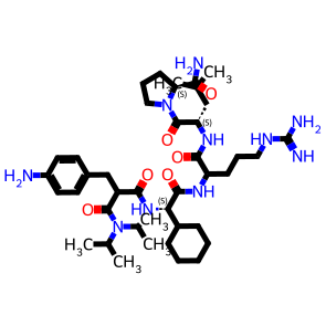 CC(C)C[C@H](NC(=O)C(CCCNC(=N)N)NC(=O)[C@@H](NC(=O)C(Cc1ccc(N)cc1)C(=O)N(C(C)C)C(C)C)C1CCCCC1)C(=O)N1CCC[C@H]1C(N)=O